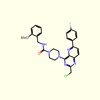 COc1ccccc1CNC(=O)N1CCN(c2nc(CCl)nc3ccc(-c4ccc(F)cc4)nc23)CC1